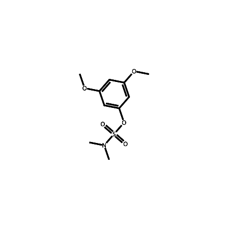 COc1cc(OC)cc(OS(=O)(=O)N(C)C)c1